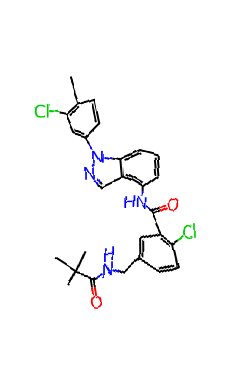 Cc1ccc(-n2ncc3c(NC(=O)c4cc(CNC(=O)C(C)(C)C)ccc4Cl)cccc32)cc1Cl